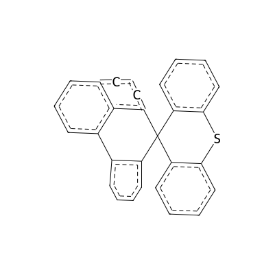 c1ccc2c(c1)Sc1ccccc1C21c2ccccc2-c2cccc3cccc1c23